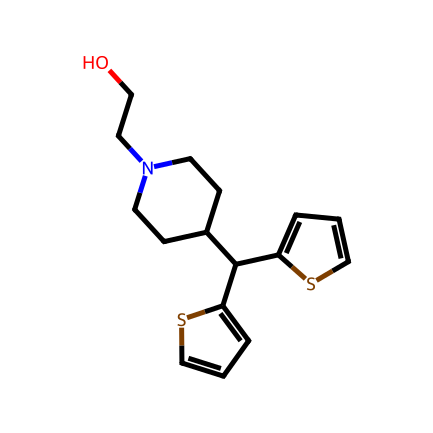 OCCN1CCC(C(c2cccs2)c2cccs2)CC1